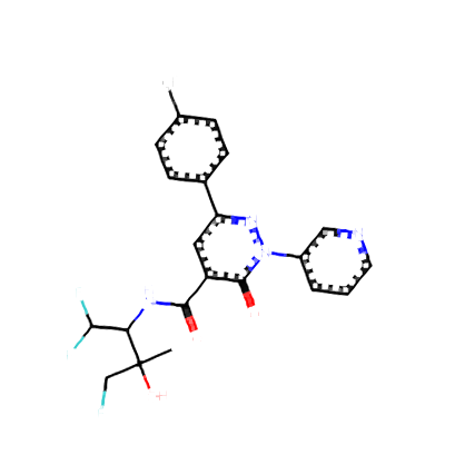 CC(O)(CF)C(NC(=O)c1cc(-c2ccc(C(F)(F)F)cc2)nn(-c2cccnc2)c1=O)C(F)F